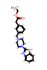 CCOC(=O)Cc1cccc(CN2CCN(c3nc4ccccc4s3)CC2)c1